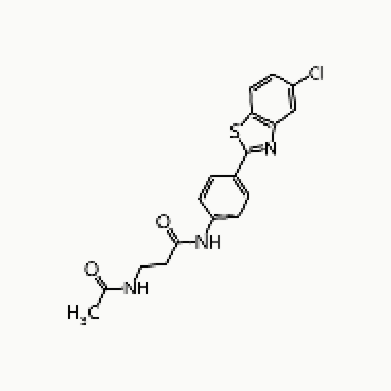 CC(=O)NCCC(=O)Nc1ccc(-c2nc3cc(Cl)ccc3s2)cc1